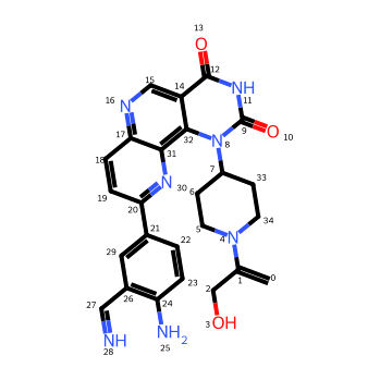 C=C(CO)N1CCC(n2c(=O)[nH]c(=O)c3cnc4ccc(-c5ccc(N)c(C=N)c5)nc4c32)CC1